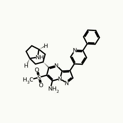 CS(=O)(=O)c1c([C@@H]2C[C@H]3CC[C@@H](C2)N3)nc2c(-c3ccc(-c4ccccc4)nc3)cnn2c1N